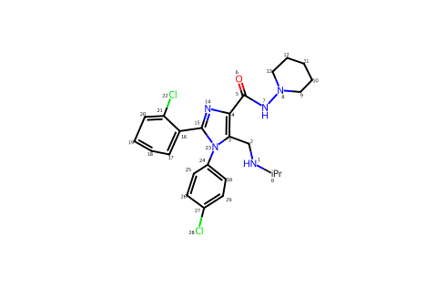 CC(C)NCc1c(C(=O)NN2CCCCC2)nc(-c2ccccc2Cl)n1-c1ccc(Cl)cc1